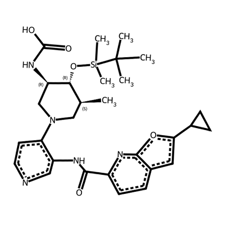 C[C@H]1CN(c2ccncc2NC(=O)c2ccc3cc(C4CC4)oc3n2)C[C@@H](NC(=O)O)[C@@H]1O[Si](C)(C)C(C)(C)C